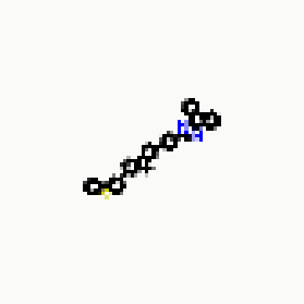 CC1(C)c2cc(-c3ccc(-c4cnc5c6ccccc6c6ccccc6c5n4)cc3)ccc2-c2ccc(-c3ccc4sc5ccccc5c4c3)cc21